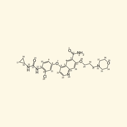 NC(=O)c1cc2c(Oc3ccc(NC(=O)NC4CC4)c(Cl)c3)ccnc2cc1OCCCN1CCOCC1